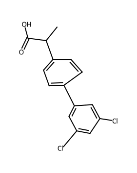 CC(C(=O)O)c1ccc(-c2cc(Cl)cc(Cl)c2)cc1